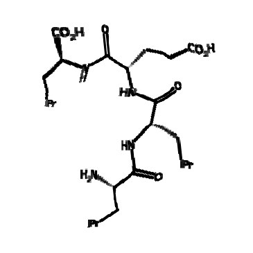 CC(C)C[C@H](NC(=O)[C@H](CCC(=O)O)NC(=O)[C@H](CC(C)C)NC(=O)[C@@H](N)CC(C)C)C(=O)O